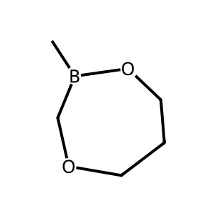 CB1COCCCO1